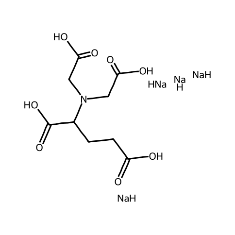 O=C(O)CCC(C(=O)O)N(CC(=O)O)CC(=O)O.[NaH].[NaH].[NaH].[NaH]